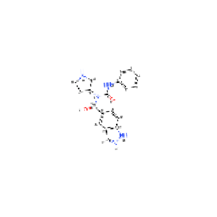 O=C(Nc1ccccc1)N(C(=O)c1ccc2[nH]ncc2c1)C1CCNC1